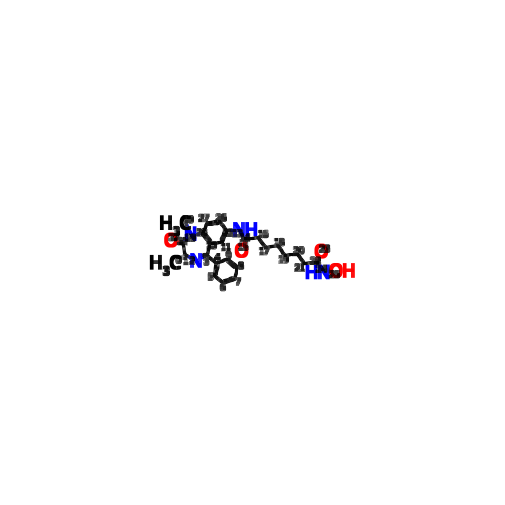 C[C@H]1N=C(c2ccccc2)c2cc(NC(=O)CCCCCCC(=O)NO)ccc2N(C)C1=O